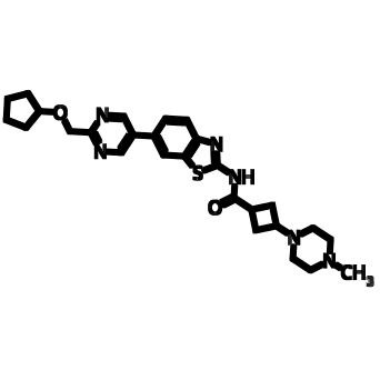 CN1CCN(C2CC(C(=O)Nc3nc4ccc(-c5cnc(COC6CCCC6)nc5)cc4s3)C2)CC1